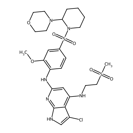 COc1cc(S(=O)(=O)N2CCCCC2N2CCOCC2)ccc1Nc1cc(NCCS(C)(=O)=O)c2c(Cl)c[nH]c2n1